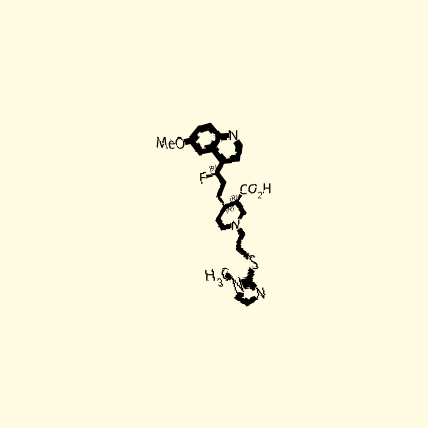 COc1ccc2nccc([C@H](F)CC[C@@H]3CCN(CCSc4nccn4C)C[C@@H]3C(=O)O)c2c1